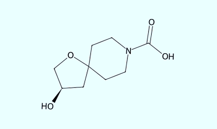 O=C(O)N1CCC2(CC1)C[C@@H](O)CO2